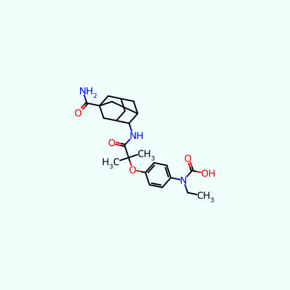 CCN(C(=O)O)c1ccc(OC(C)(C)C(=O)NC2C3CC4CC2CC(C(N)=O)(C4)C3)cc1